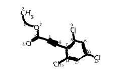 CCOC(=O)C#Cc1c(Cl)cc(Cl)cc1Cl